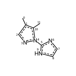 Cc1cnn(-c2ncc[nH]2)c1C